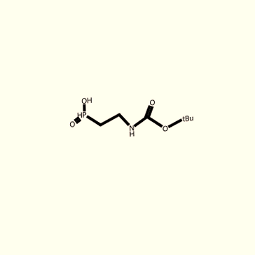 CC(C)(C)OC(=O)NCC[PH](=O)O